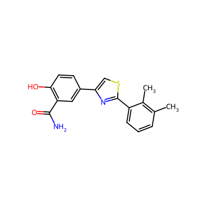 Cc1cccc(-c2nc(-c3ccc(O)c(C(N)=O)c3)cs2)c1C